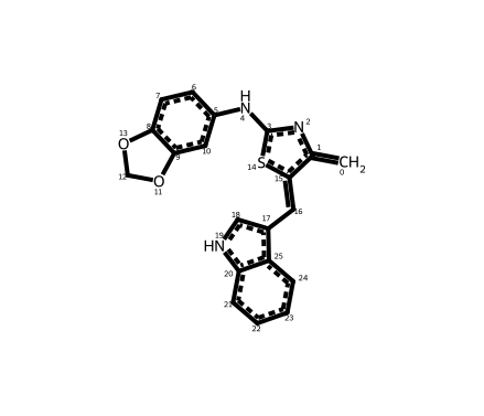 C=c1nc(Nc2ccc3c(c2)OCO3)s/c1=C\c1c[nH]c2ccccc12